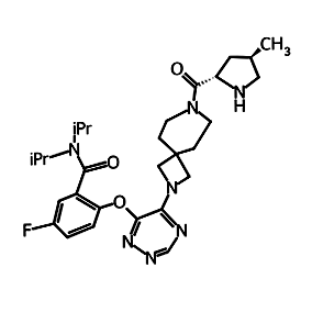 CC(C)N(C(=O)c1cc(F)ccc1Oc1nncnc1N1CC2(CCN(C(=O)[C@@H]3C[C@@H](C)CN3)CC2)C1)C(C)C